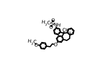 COc1ccc(CCOc2ccc3c(c2)CCc2ccccc2C3(C)c2cccc(NS(C)(=O)=O)c2)cc1